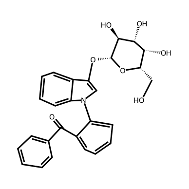 O=C(c1ccccc1)c1ccccc1-n1cc(O[C@H]2O[C@@H](CO)[C@@H](O)[C@@H](O)[C@@H]2O)c2ccccc21